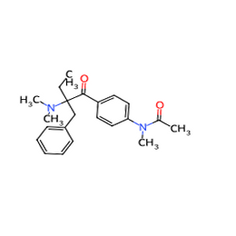 CCC(Cc1ccccc1)(C(=O)c1ccc(N(C)C(C)=O)cc1)N(C)C